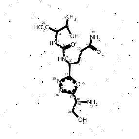 CC(O)C(NC(=O)N[C@@H](CCC(N)=O)c1nnc([C@@H](N)CO)o1)C(=O)O